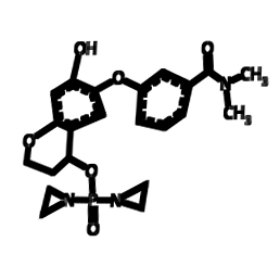 CN(C)C(=O)c1cccc(Oc2cc3c(cc2O)OCCC3OP(=O)(N2CC2)N2CC2)c1